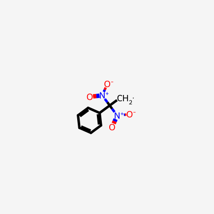 [CH2]C(c1ccccc1)([N+](=O)[O-])[N+](=O)[O-]